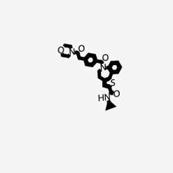 O=C(NC1CC1)c1cc2c(s1)-c1ccccc1N(C(=O)c1ccc(CC(=O)N3CCOCC3)cc1)CC2